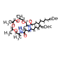 CCCCCCCCCCCCCCCCCC(=O)NC(C)COCC(C)OCC(C)OCC(C)OCC(C)NC(=O)CCCCCCCCCCCCCCCCC